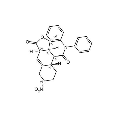 C[C@H]1OC(=O)[C@@H]2C=C3C[C@@H]([N+](=O)[O-])CC[C@H]3[C@H](C(=O)N(c3ccccc3)c3ccccc3)[C@H]12